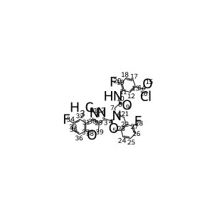 Cn1nc(C(=O)N(CC(=O)Nc2cc(C(=O)Cl)ccc2F)Cc2ccccc2F)c2c1-c1cc(F)ccc1OC2